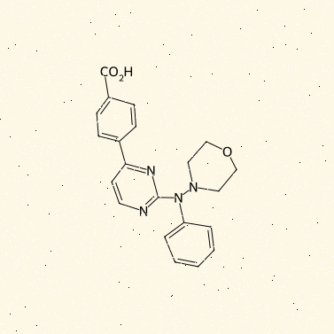 O=C(O)c1ccc(-c2ccnc(N(c3ccccc3)N3CCOCC3)n2)cc1